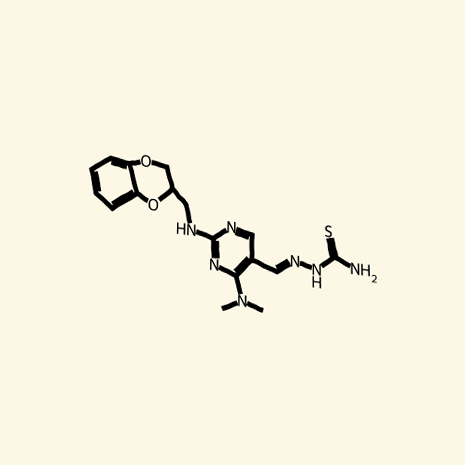 CN(C)c1nc(NCC2COc3ccccc3O2)ncc1C=NNC(N)=S